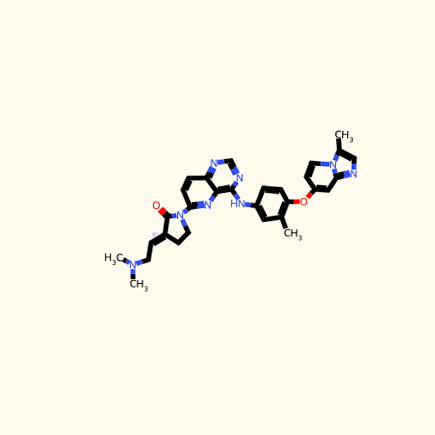 Cc1cc(Nc2ncnc3ccc(N4CC/C(=C\CN(C)C)C4=O)nc23)ccc1Oc1ccn2c(C)cnc2c1